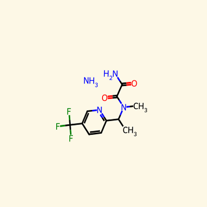 CC(c1ccc(C(F)(F)F)cn1)N(C)C(=O)C(N)=O.N